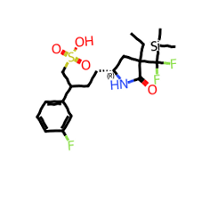 CCC1(C(F)(F)[Si](C)(C)C)C[C@@H](CCC(CS(=O)(=O)O)c2cccc(F)c2)NC1=O